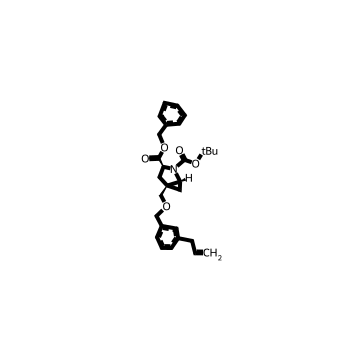 C=CCc1cccc(COC[C@@]23C[C@@H](C(=O)OCc4ccccc4)N(C(=O)OC(C)(C)C)[C@@H]2C3)c1